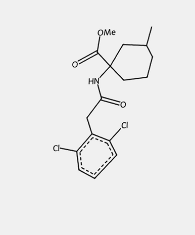 COC(=O)C1(NC(=O)Cc2c(Cl)cccc2Cl)CCCC(C)C1